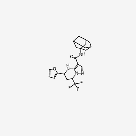 O=C(NC12CC3CC(CC(C3)C1)C2)c1cnn2c1NC(c1ccco1)CC2C(F)(F)F